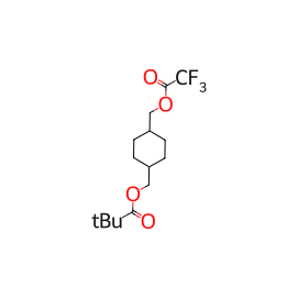 CC(C)(C)C(=O)OCC1CCC(COC(=O)C(F)(F)F)CC1